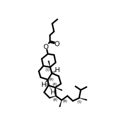 CCCCC(=O)OC1CC[C@@]2(C)C(CC[C@H]3[C@@H]4CC[C@H]([C@H](C)CC[C@H](C)C(C)C)[C@@]4(C)CC[C@@H]32)C1